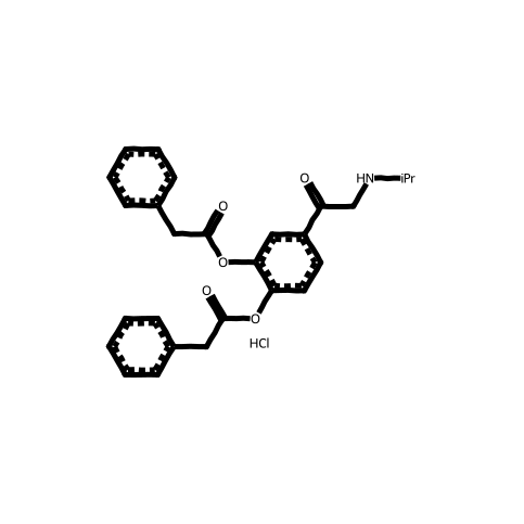 CC(C)NCC(=O)c1ccc(OC(=O)Cc2ccccc2)c(OC(=O)Cc2ccccc2)c1.Cl